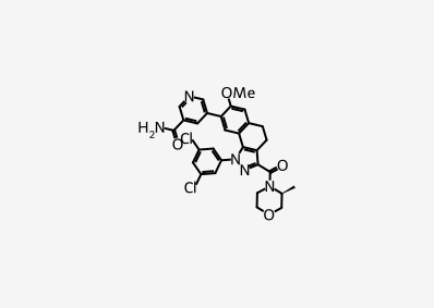 COc1cc2c(cc1-c1cncc(C(N)=O)c1)-c1c(c(C(=O)N3CCOC[C@@H]3C)nn1-c1cc(Cl)cc(Cl)c1)CC2